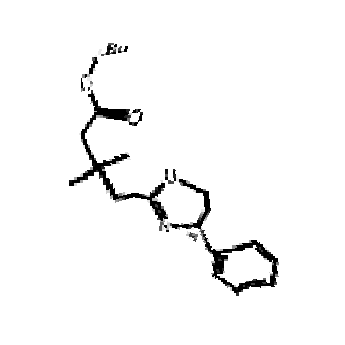 CC(C)(CC(=O)OC(C)(C)C)CC1=N[C@H](c2ccccc2)CO1